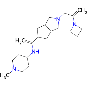 C=C(NC1CCN(C)CC1)C1CC2CN(CC(=C)N3CCC3)CC2C1